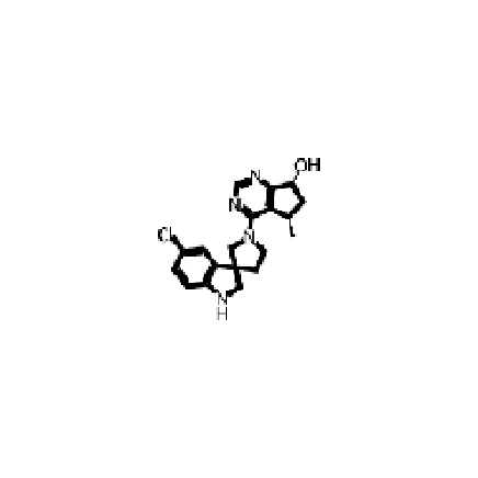 C[C@@H]1C[C@@H](O)c2ncnc(N3CCC4(CNc5ccc(Cl)cc54)C3)c21